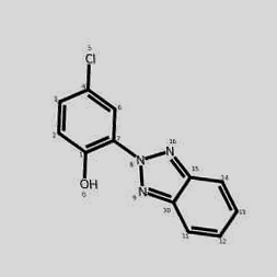 Oc1c[c]c(Cl)cc1-n1nc2ccccc2n1